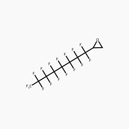 FC(F)(F)C(F)(F)C(F)(F)C(F)(F)C(F)(F)C(F)(F)C(F)(F)C(F)(F)C1CO1